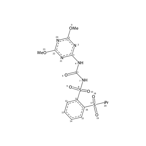 COc1nc(NC(=O)NS(=O)(=O)c2ccccc2S(=O)(=O)C(C)C)nc(OC)n1